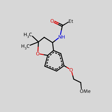 CCC(=O)NC1CC(C)(C)Oc2ccc(OCCOC)cc21